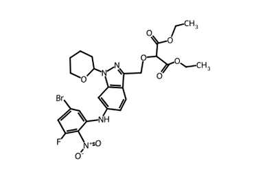 CCOC(=O)C(OCc1nn(C2CCCCO2)c2cc(Nc3cc(Br)cc(F)c3[N+](=O)[O-])ccc12)C(=O)OCC